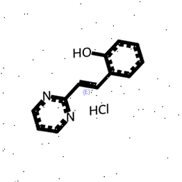 Cl.Oc1ccccc1/C=C/c1ncccn1